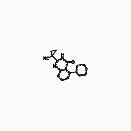 N#CC1(c2nc3cccc(-c4ccccc4)c3c(=O)[nH]2)CC1